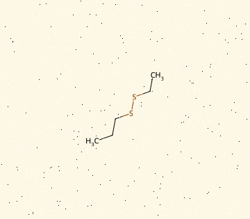 C[CH]SSCCC